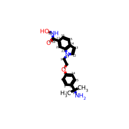 CC(C)(N)c1ccc(OCCn2ccc3ccc(C(=O)NO)cc32)cc1